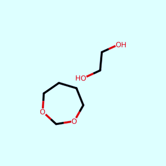 C1CCOCOC1.OCCO